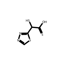 OC(=S)C(S)c1nncs1